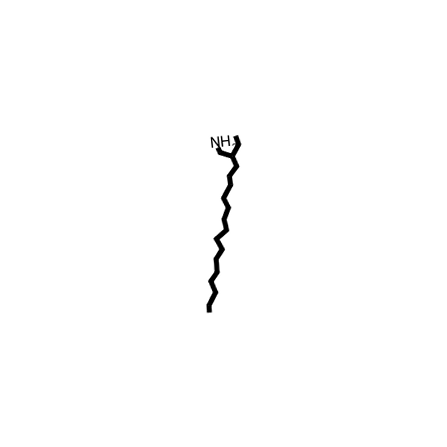 CCCCCCCCCCCCCCCC(CC)CN